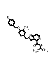 Cc1cc(Cn2cc3c(C(=O)NC(C)C)nccc3n2)cnc1OCc1ccc(F)cc1